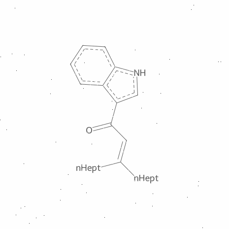 CCCCCCCC(=CC(=O)c1c[nH]c2ccccc12)CCCCCCC